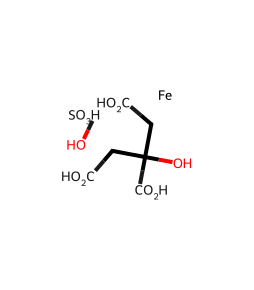 O=C(O)CC(O)(CC(=O)O)C(=O)O.O=S(=O)(O)O.[Fe]